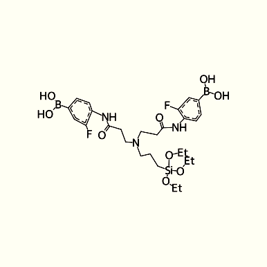 CCO[Si](CCCN(CCC(=O)Nc1ccc(B(O)O)cc1F)CCC(=O)Nc1ccc(B(O)O)cc1F)(OCC)OCC